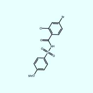 COc1ccc(S(=O)(=O)NC(=O)c2ccc(Br)cc2Cl)cc1